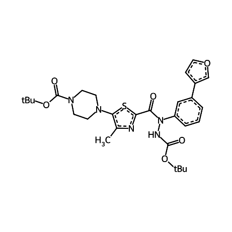 Cc1nc(C(=O)N(NC(=O)OC(C)(C)C)c2cccc(-c3ccoc3)c2)sc1N1CCN(C(=O)OC(C)(C)C)CC1